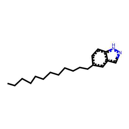 CCCCCCCCCCCCc1ccc2[nH]ncc2c1